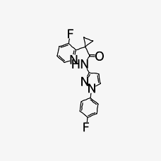 O=C(Nc1ccn(-c2ccc(F)cc2)n1)C1(c2ncccc2F)CC1